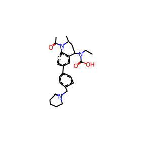 CCN(C(=O)O)C1CC(C)N(C(C)=O)c2ccc(-c3ccc(CN4CCCCC4)cc3)cc21